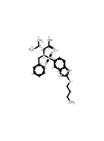 CCCCSc1nc2ccc(S(=O)(=O)N(Cc3ccccc3)[C@@H](C(=O)O)C(C)C)cc2s1